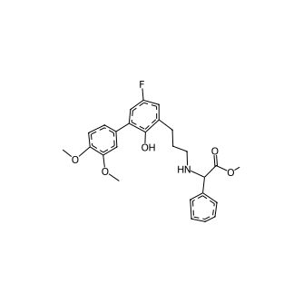 COC(=O)C(NCCCc1cc(F)cc(-c2ccc(OC)c(OC)c2)c1O)c1ccccc1